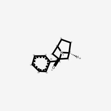 O=C1CC2CC[C@@H](C1)N2Cc1ccccc1